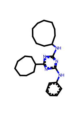 c1ccc(Nc2nc(NC3CCCCCCCCC3)nc(C3CCCCCCC3)n2)cc1